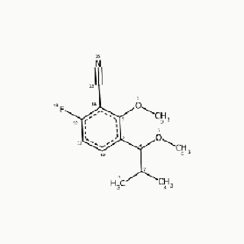 COc1c(C(OC)C(C)C)ccc(F)c1C#N